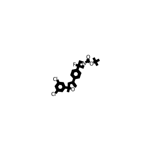 CC(C)(C)OC(=O)N1CC(F)(c2ccc(C3=COC(C)(c4cc(Cl)cc(Cl)c4)C3)cc2)C1